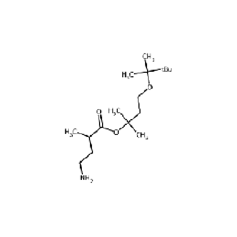 CC(CCN)C(=O)OC(C)(C)CCOC(C)(C)C(C)(C)C